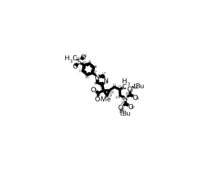 COC(=O)C1(c2cn(-c3ccc(S(C)(=O)=O)cc3)cn2)CC1CC(C)CN(C(=O)OC(C)(C)C)C(=O)OC(C)(C)C